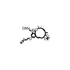 COCOc1cc(OCCN=[N+]=[N-])cc2c1C(=O)O[C@@H](C)[C@H](C)/C=C\C(C)C1OC(C)(C)OC1C/C=C/2